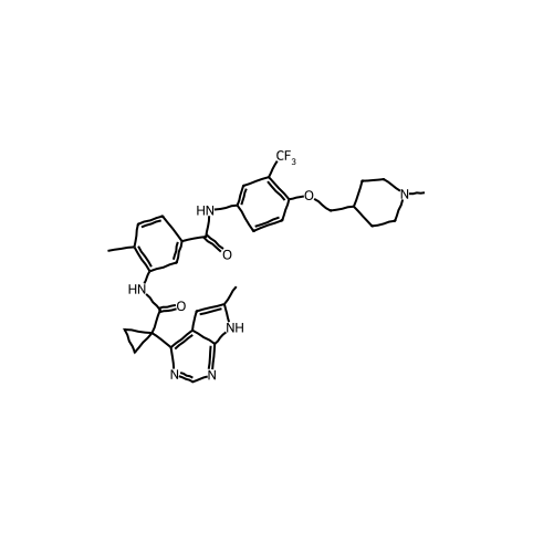 Cc1cc2c(C3(C(=O)Nc4cc(C(=O)Nc5ccc(OCC6CCN(C)CC6)c(C(F)(F)F)c5)ccc4C)CC3)ncnc2[nH]1